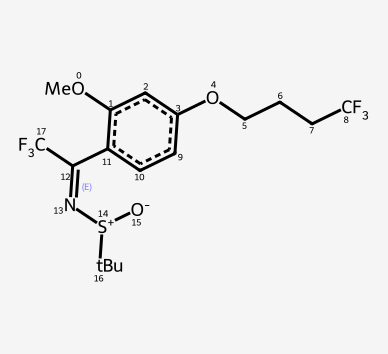 COc1cc(OCCCC(F)(F)F)ccc1/C(=N\[S+]([O-])C(C)(C)C)C(F)(F)F